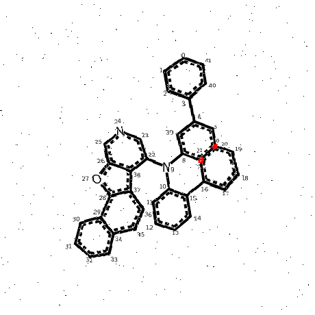 c1ccc(-c2cccc(N(c3ccccc3-c3ccccc3)c3cncc4oc5c6ccccc6ccc5c34)c2)cc1